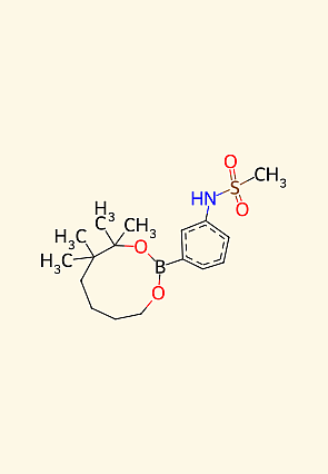 CC1(C)CCCCOB(c2cccc(NS(C)(=O)=O)c2)OC1(C)C